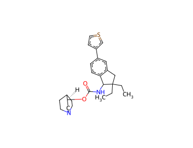 CCC1(CC)Cc2cc(-c3ccsc3)ccc2C1NC(=O)O[C@H]1CN2CCC1CC2